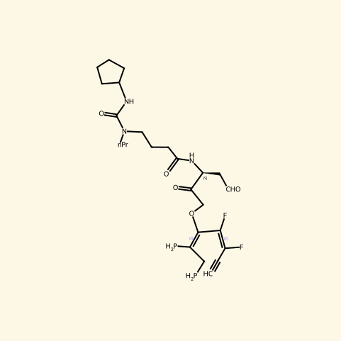 C#C/C(F)=C(F)\C(OCC(=O)[C@H](CC=O)NC(=O)CCCN(CCC)C(=O)NC1CCCC1)=C(\P)CP